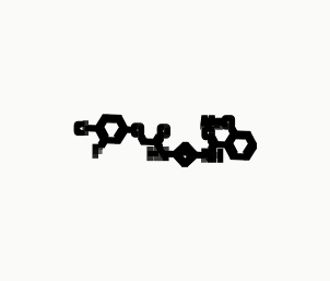 COc1ccccc1C(=O)NC12CC(NC(=O)COc3ccc(Cl)c(F)c3)(C1)C2